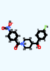 O=C(c1ccc(F)cc1)C1CCN(C(=O)c2ccc([N+](=O)[O-])cc2)CC1